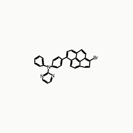 Brc1ccc2ccc3c(-c4ccc(N(c5ccccc5)c5ncccn5)cc4)ccc4ccc1c2c43